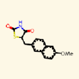 COc1ccc2cc(CC3SC(=O)NC3=O)ccc2c1